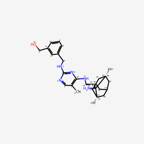 N#Cc1cnc(NCc2cccc(CO)c2)nc1NC[C@]12CC3C[C@H](C1)[C@@H](N)[C@@H](C3)C2